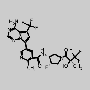 Cc1ncc(-c2cc(C(F)(F)F)c3c(N)ncnn23)cc1C(=O)N[C@@H]1CN(C(=O)[C@](C)(O)C(F)(F)F)C[C@@H]1F